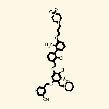 Cc1c(OCCCN2CCS(=O)(=O)CC2)cccc1-c1cccc(COc2cc(OCc3cncc(C#N)c3)c(CN3CCCC[C@H]3C)cc2Cl)c1Cl